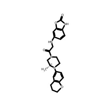 C[C@@H]1CN(C(=O)CNc2ccc3[nH]c(=O)oc3c2)CCN1c1ccc2c(c1)CCCO2